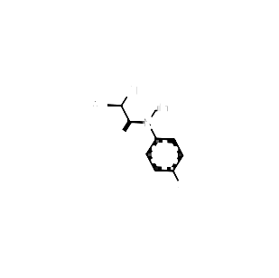 CC(=O)C(C)C(=O)N(c1ccc(Cl)cc1)C(C)C